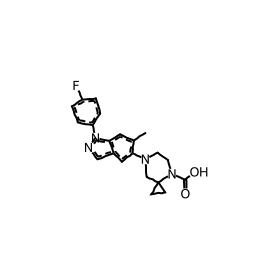 Cc1cc2c(cnn2-c2ccc(F)cc2)cc1N1CCN(C(=O)O)C2(CC2)C1